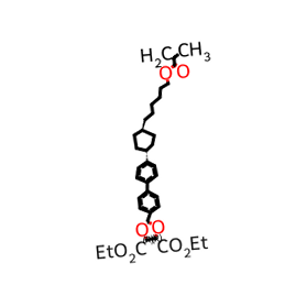 C=C(C)C(=O)OCCCCCC[C@H]1CC[C@H](c2ccc(-c3ccc(C4O[C@@H](C(=O)OCC)[C@H](C(=O)OCC)O4)cc3)cc2)CC1